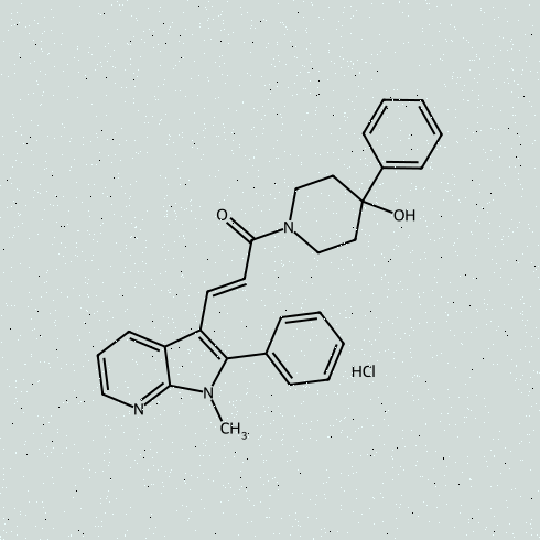 Cl.Cn1c(-c2ccccc2)c(C=CC(=O)N2CCC(O)(c3ccccc3)CC2)c2cccnc21